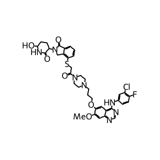 COc1cc2ncnc(Nc3ccc(F)c(Cl)c3)c2cc1OCCCN1CCN(C(=O)CSc2cccc3c2CN(C2CCC(O)NC2=O)C3=O)CC1